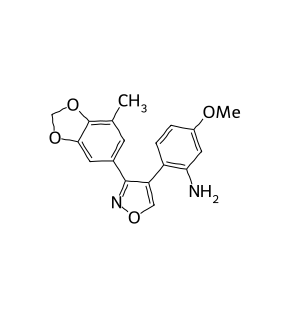 COc1ccc(-c2conc2-c2cc(C)c3c(c2)OCO3)c(N)c1